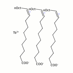 CCCCCCCC/C=C\CCCCCCCC(=O)[O-].CCCCCCCC/C=C\CCCCCCCC(=O)[O-].CCCCCCCC/C=C\CCCCCCCC(=O)[O-].[Tb+3]